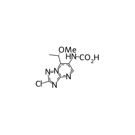 CO[C@@H](C)c1c(NC(=O)O)cnc2nc(Cl)nn12